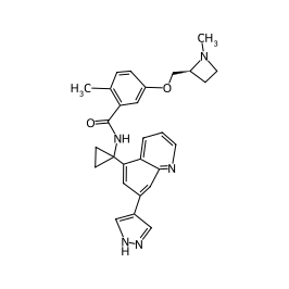 Cc1ccc(OC[C@@H]2CCN2C)cc1C(=O)NC1(c2cc(-c3cn[nH]c3)cc3ncccc23)CC1